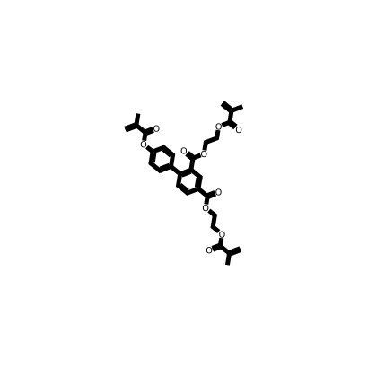 C=C(C)C(=O)OCCOC(=O)c1ccc(-c2ccc(OC(=O)C(=C)C)cc2)c(C(=O)OCCOC(=O)C(=C)C)c1